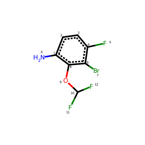 Nc1ccc(F)c(Br)c1OC(F)F